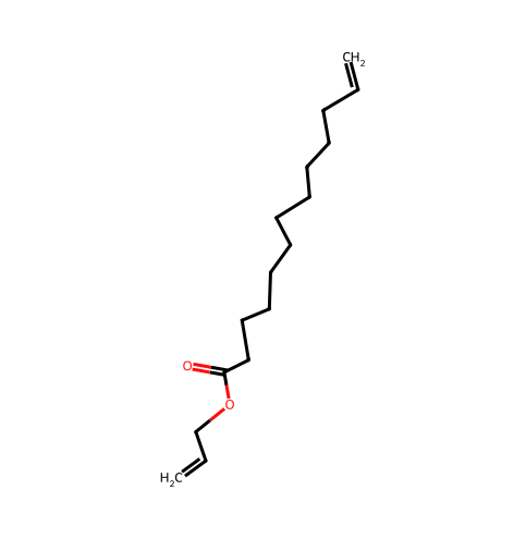 C=CCCCCCCCCCCC(=O)OCC=C